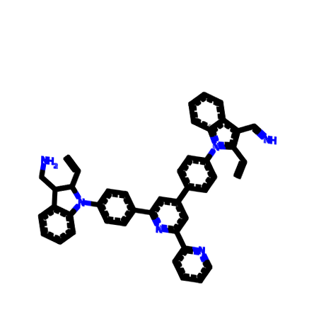 C=Cc1c(C=N)c2ccccc2n1-c1ccc(-c2cc(-c3ccc(N4c5ccccc5C(CN)C4C=C)cc3)nc(-c3ccccn3)c2)cc1